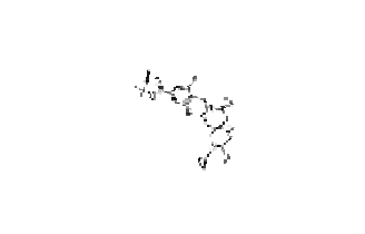 CC1(C)OB(c2cc(F)c(CN3CCC4(CC3=O)CN(C3CC3)C(=O)CO4)c(F)c2)OC1(C)C